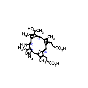 CC1=C(CCC(=O)O)/C2=C/c3[nH]c(c(C)c3CCC(=O)O)/C=C3N=C(/C=C(N)/C(C(C)O)=C(/C)CC1=N2)C(C)=C\3C(C)O